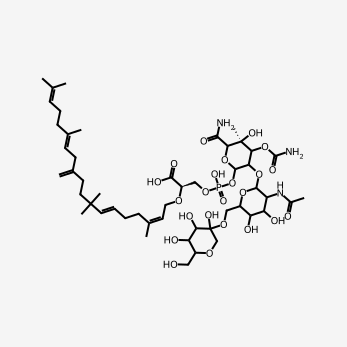 C=C(C/C=C(\C)CCC=C(C)C)CCC(C)(C)/C=C/CC/C(C)=C\CO[C@H](COP(=O)(O)OC1OC(C(N)=O)[C@@](C)(O)C(OC(N)=O)C1OC1OC(COC2(O)COC(CO)C(O)C2O)C(O)C(O)C1NC(C)=O)C(=O)O